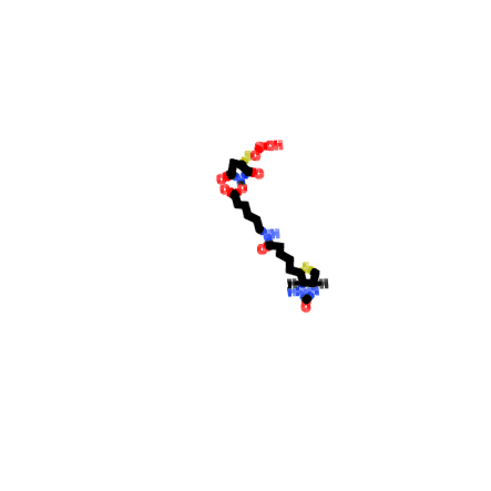 O=C(CCCCC1SC[C@@H]2NC(=O)N[C@H]12)NCCCCCC(=O)ON1C(=O)CC(SOOO)C1=O